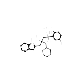 COc1ccc(F)cc1C(C)(C)CC(O)(Cc1cc2ccccc2[nH]1)CC1CCCCC1